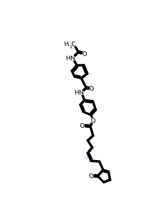 CC(=O)Nc1ccc(C(=O)Nc2ccc(OC(=O)CCC/C=C\CC3=CCCC3=O)cc2)cc1